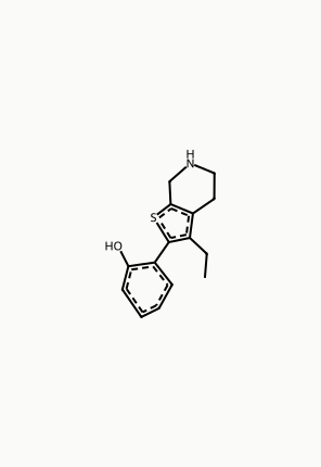 CCc1c(-c2ccccc2O)sc2c1CCNC2